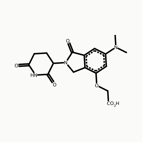 CN(C)c1cc(OCC(=O)O)c2c(c1)C(=O)N(C1CCC(=O)NC1=O)C2